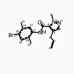 C=CCc1cnn(C)c1C(=O)Nc1cc(C)c(Br)cc1C